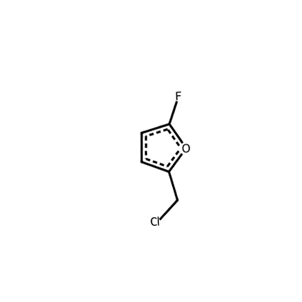 Fc1ccc(CCl)o1